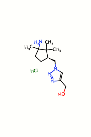 CC1(N)CC[C@H](Cn2cc(CO)nn2)C1(C)C.Cl